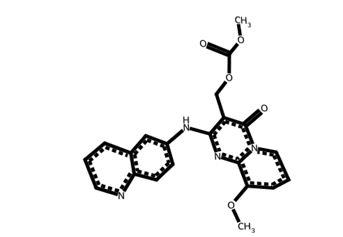 COC(=O)OCc1c(Nc2ccc3ncccc3c2)nc2c(OC)cccn2c1=O